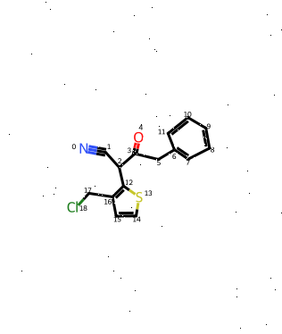 N#CC(C(=O)Cc1ccccc1)c1sccc1CCl